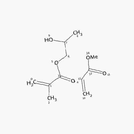 C=C(C)C(=O)OCC(C)O.C=CC(=O)OC